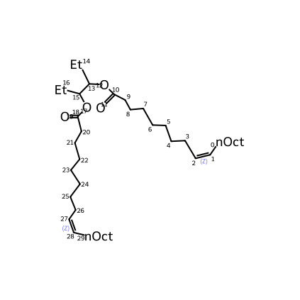 CCCCCCCC/C=C\CCCCCCCC(=O)OC(CC)C(CC)OC(=O)CCCCCCC/C=C\CCCCCCCC